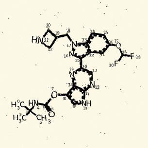 CC(C)(C)NC(=O)Oc1c[nH]c2ncc(-c3nn(CC4CNC4)c4ccc(OC(F)F)cc34)nc12